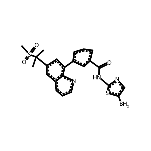 Bc1cnc(NC(=O)c2cccc(-c3cc(C(C)(C)S(C)(=O)=O)cc4cccnc34)c2)s1